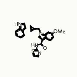 COc1ccc2c(C(=O)Nc3nccs3)cn(CC3CC3)c2c1.c1ccc2[nH]ccc2c1